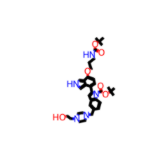 CC(C)(C)OC(=O)NCCCOc1ccc(-c2cc3cc(CN4CCN(CCO)CC4)ccc3n2C(=O)OC(C)(C)C)c2c[nH]cc12